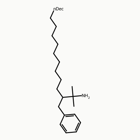 CCCCCCCCCCCCCCCCCCCC(Cc1ccccc1)C(C)(C)N